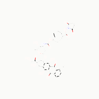 COc1cccc2c1C(=O)c1c(O)c3c(c(O)c1C2=O)C[C@@](O)(C(=O)CO)C[C@@H]3O[C@H]1C[C@H](NC(=O)O[C@H]2/C=C/CC[C@@](C)(C(=O)ON3C(=O)CCC3=O)CC2)[C@H](O)[C@H](C)O1